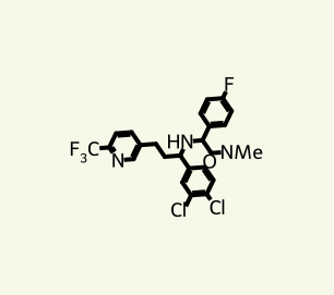 CNC(=O)C(NC(CCc1ccc(C(F)(F)F)nc1)c1ccc(Cl)c(Cl)c1)c1ccc(F)cc1